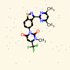 Cc1cc(C)nc(-c2nsc3ccc(-n4c(=O)cc(C(F)(F)F)n(C)c4=O)cc23)n1